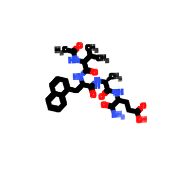 CC(=O)NC(C(=O)NC(Cc1cccc2ccccc12)C(=O)N[C@H](C)C(=O)NC(CCC(=O)O)C(N)=O)C(C)C